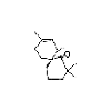 CC1=C[C@H](C)[C@@]2(CCCC(C)(C)C2=O)CC1